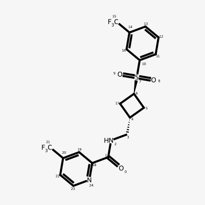 O=C(NC[C@H]1C[C@H](S(=O)(=O)c2cccc(C(F)(F)F)c2)C1)c1cc(C(F)(F)F)ccn1